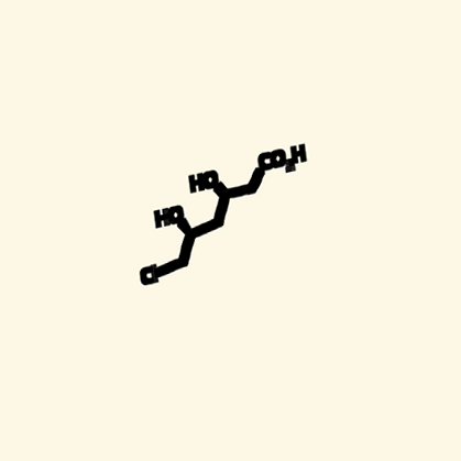 O=C(O)CC(O)C[C@H](O)CCl